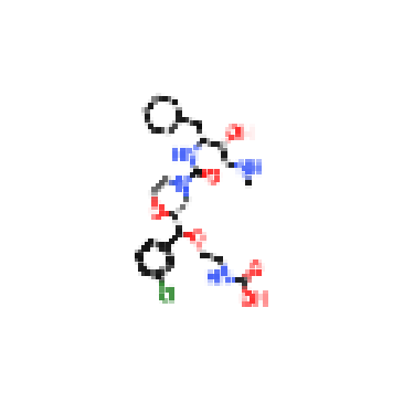 CNC[C@@H](O)[C@H](CC1CCCCC1)NC(=O)N1CCO[C@@H]([C@@H](OCCNC(=O)O)c2cccc(Cl)c2)C1